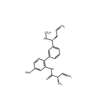 C=CC[C@H](NC(=O)O)c1cccc(-c2ncc(OC)cc2NC(=O)[C@H](C)C=C)c1